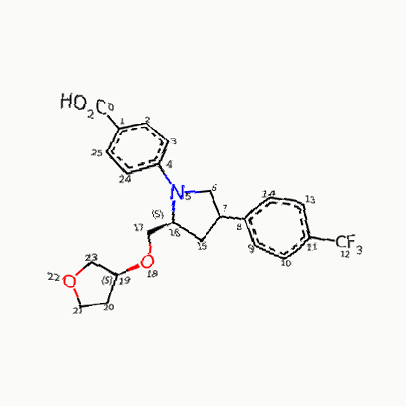 O=C(O)c1ccc(N2CC(c3ccc(C(F)(F)F)cc3)C[C@H]2CO[C@H]2CCOC2)cc1